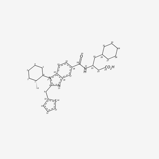 C[C@@H]1CCCCC1n1c(Cc2cccs2)nc2cc(C(=O)NC(CC(=O)O)CC3CCCCC3)ccc21